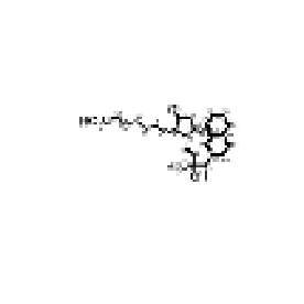 CC(O)(C=C[C@@H]1C(SCCCSCC(=O)O)C(=O)C[C@H]1O)Cc1ccc2ccccc2c1